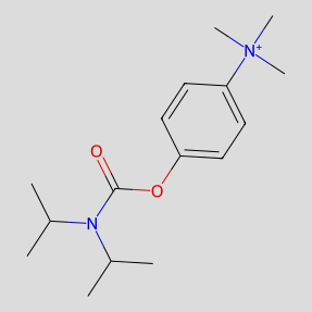 CC(C)N(C(=O)Oc1ccc([N+](C)(C)C)cc1)C(C)C